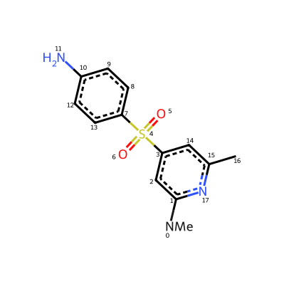 CNc1cc(S(=O)(=O)c2ccc(N)cc2)cc(C)n1